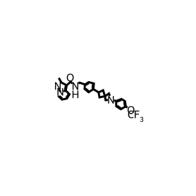 Cc1nn2ccccc2c1C(=O)NCc1ccc(C2CC3(C2)CN(c2ccc(OC(F)(F)F)cc2)C3)cc1